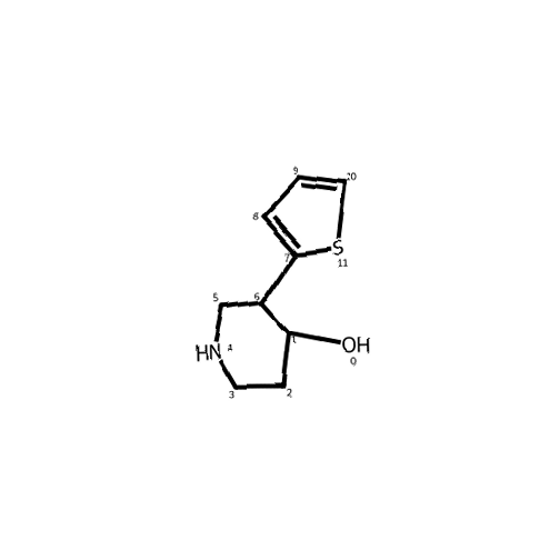 OC1CCNCC1c1cccs1